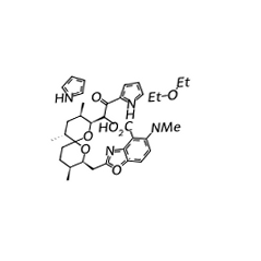 CCOCC.CNc1ccc2oc(C[C@@H]3OC4(CC[C@@H]3C)O[C@H](C(C)C(=O)c3ccc[nH]3)[C@H](C)C[C@H]4C)nc2c1C(=O)O.c1cc[nH]c1